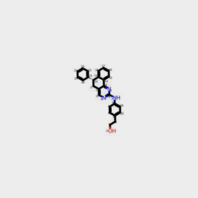 OCCc1ccc(Nc2ncc3c(n2)-c2ccccc2[C@@H](c2ccccc2)C3)cc1